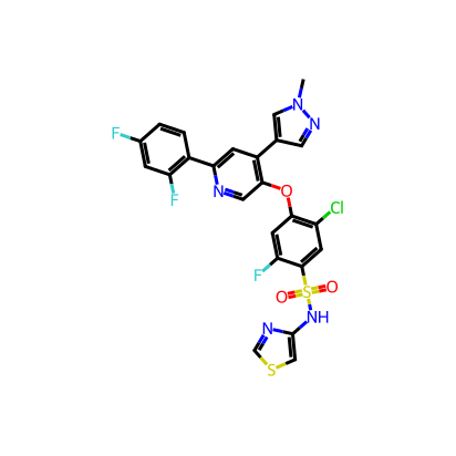 Cn1cc(-c2cc(-c3ccc(F)cc3F)ncc2Oc2cc(F)c(S(=O)(=O)Nc3cscn3)cc2Cl)cn1